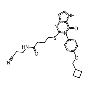 N#CCCNC(=O)CCCSc1nc2cc[nH]c2c(=O)n1-c1ccc(OCC2CCC2)cc1